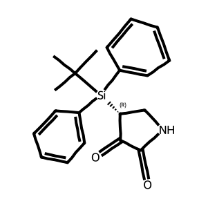 CC(C)(C)[Si](c1ccccc1)(c1ccccc1)[C@@H]1CNC(=O)C1=O